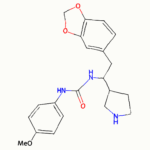 COc1ccc(NC(=O)NC(Cc2ccc3c(c2)OCO3)C2CCNC2)cc1